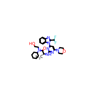 C[C@H](Nc1nc(N2CCOCC2)cc(-n2c(C(F)F)nc3ccccc32)n1)C(=O)N(CCO)C1CCCCC1